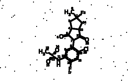 CC1(F)CC2C(=O)C(c3cc(NS(C)(=O)=O)c(F)cc3Cl)C(=O)C2C1